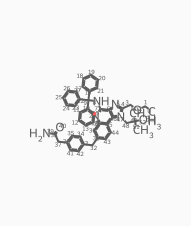 CCOCc1nc2c(NC(c3ccccc3)(c3ccccc3)c3ccccc3)nc3cc(Cc4ccc(CC(N)=O)cc4)ccc3c2n1CC(C)(C)O